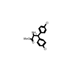 COC(=O)C(N)C(c1ccc(Cl)cc1)c1ccc(Cl)cc1